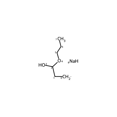 [CH2]CC(O)OCCC.[NaH]